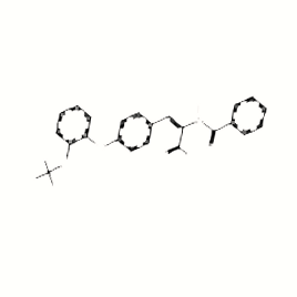 O=C(O)/C(=C\c1ccc(Oc2ccccc2OC(F)(F)F)cc1)NC(=O)c1ccccc1